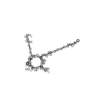 N=C(N)NCCC[C@@H]1NC(=O)C(S)NC(=O)[C@H](CCCCNC(=O)COCC(=O)NCCOCCOCCOCCOCCOCCNC(=O)CO/N=C/c2ccccc2)NC(=O)CSC[C@@H](C(=O)NCCOCCOCCOCCNC(=O)COCC(N)=O)NC(=O)[C@H](Cc2ccccc2)NC(=O)[C@H](CS)NC(=O)[C@H](CC(=O)O)NC(=O)CNC1=O